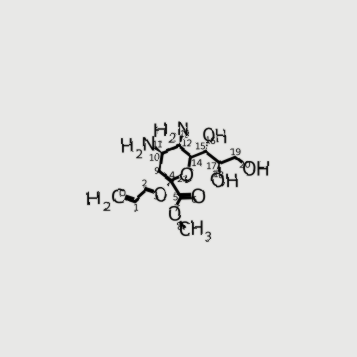 C=CCO[C@]1(C(=O)OC)C[C@@H](N)[C@@H](N)C([C@H](O)[C@H](O)CO)O1